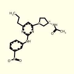 CCCc1cc(N2CC[C@H](NC(C)=O)C2)nc(Nc2cccc([N+](=O)[O-])c2)n1